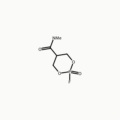 CNC(=O)C1COP(=O)(F)OC1